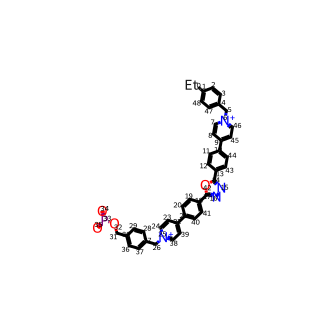 CCc1ccc(C[n+]2ccc(-c3ccc(-c4nnc(-c5ccc(-c6cc[n+](Cc7ccc(COP(=O)=O)cc7)cc6)cc5)o4)cc3)cc2)cc1